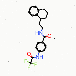 O=C(NCCC1CCCc2ccccc21)c1ccc(NC(=O)C(F)(F)F)cc1